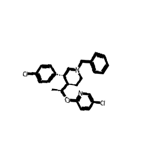 C[C@H](Oc1ccc(Cl)cn1)[C@@H]1CCN(Cc2ccccc2)C[C@H]1c1ccc(Cl)cc1